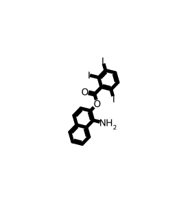 Nc1c(OC(=O)c2c(I)ccc(I)c2I)ccc2ccccc12